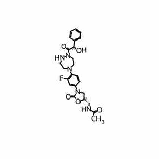 CC(=O)NC[C@H]1CN(c2ccc(N3CCNN(C(=O)[C@H](O)c4ccccc4)CC3)c(F)c2)C(=O)O1